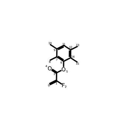 C=C(F)C(=O)Oc1c(C)c(C)cc(C)c1C